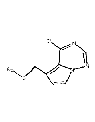 CC(=O)SCc1ccn2ncnc(Cl)c12